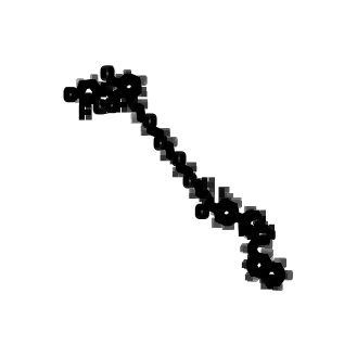 O=C1CCC(N2C(=O)c3cccc(NCCOCCOCCOCCOCCNC(=O)c4ccc(-c5cnc6ncc(Cc7ccc8ncccc8c7)n6n5)cc4F)c3C2=O)C(=O)N1